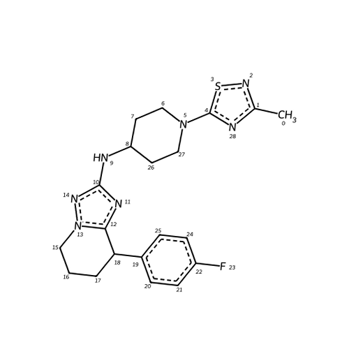 Cc1nsc(N2CCC(Nc3nc4n(n3)CCCC4c3ccc(F)cc3)CC2)n1